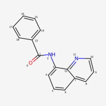 O=C(Nc1cccc2cccnc12)c1ccccc1